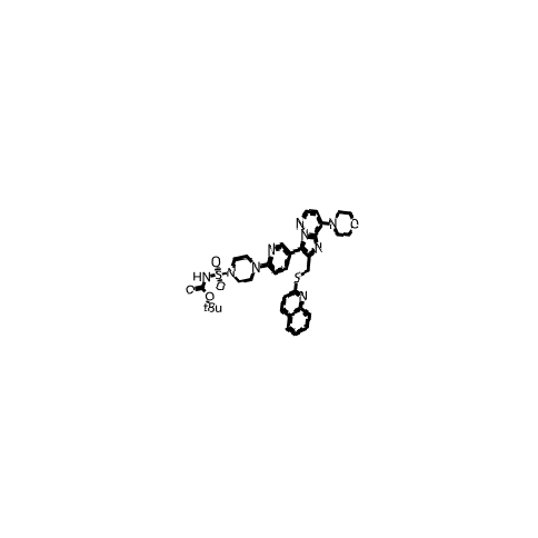 CC(C)(C)OC(=O)NS(=O)(=O)N1CCN(c2ccc(-c3c(CSc4ccc5ccccc5n4)nc4c(N5CCOCC5)ccnn34)cn2)CC1